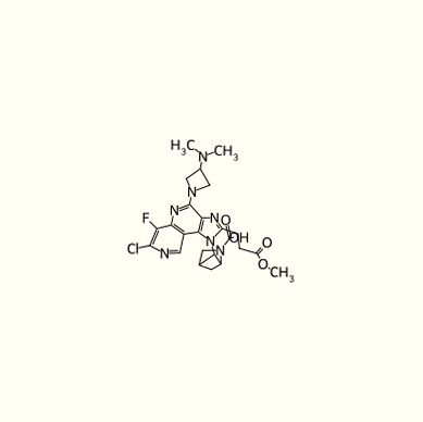 COC(=O)CCc1nc2c(N3CC(N(C)C)C3)nc3c(F)c(Cl)ncc3c2n1C1C2CC1N(C(=O)O)C2